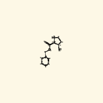 O=C(OCc1ccccc1)[C@H]1NCCC1S